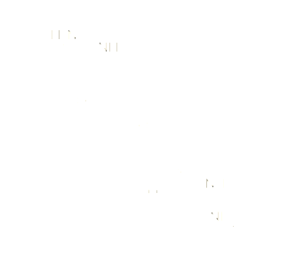 NNC(=O)COCC(=O)NN